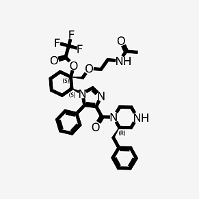 CC(=O)NCCOC[C@]1(OC(=O)C(F)(F)F)CCCC[C@@H]1n1cnc(C(=O)N2CCNC[C@H]2Cc2ccccc2)c1-c1ccccc1